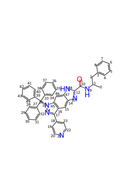 CC(Cc1ccccc1)NC(=O)c1nc2cc3c(-c4ccncc4)nn(C(c4ccccc4)(c4ccccc4)c4ccccc4)c3cc2[nH]1